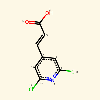 O=C(O)C=Cc1cc(Cl)nc(Cl)c1